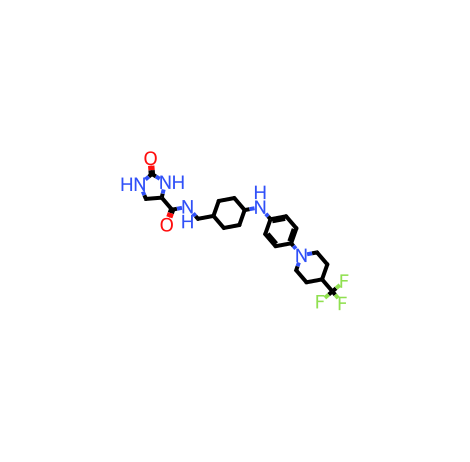 O=C1NCC(C(=O)NCC2CCC(Nc3ccc(N4CCC(C(F)(F)F)CC4)cc3)CC2)N1